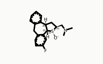 CN(C)C[C@@H]1C[C@@H]2c3ccccc3Cc3ccc(F)cc3[C@H]2[S@@+]1[O-]